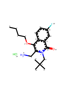 CCCCOc1c(CN)n(CC(C)(C)C)c(=O)c2cc(F)ccc12.Cl